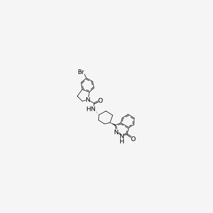 O=C(N[C@H]1CC[C@H](c2n[nH]c(=O)c3ccccc32)CC1)N1CCc2cc(Br)ccc21